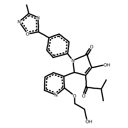 Cc1noc(-c2ccc(N3C(=O)C(O)=C(C(=O)C(C)C)C3c3cccnc3OCCO)cc2)n1